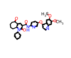 COc1cc2nccc(Oc3ccc(NC(=O)c4cc5c(n(-c6ccccc6)c4=O)CCCCC5=O)nc3)c2cc1OC